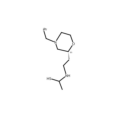 CC(C)CN1CCO[C@H](CCNC(C)S)C1